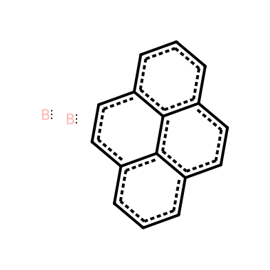 [B].[B].c1cc2ccc3cccc4ccc(c1)c2c34